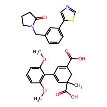 COc1cccc(OC)c1C1=CC(C)(C(=O)O)CC(C(=O)O)=C1.O=C1CCCN1Cc1cccc(-c2cncs2)c1